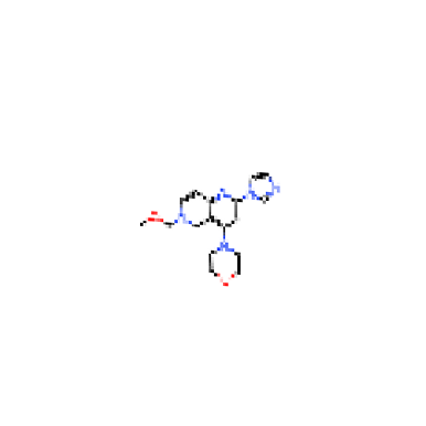 COCN1C=Cc2nc(-n3ccnc3)cc(N3CCOCC3)c2C1